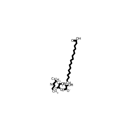 CC(O)C(=O)[O-].CC(O)C(=O)[O-].CCCCCCCCCCCCCCCCCC(=O)O.CCCC[CH2][Ca+].[Na+]